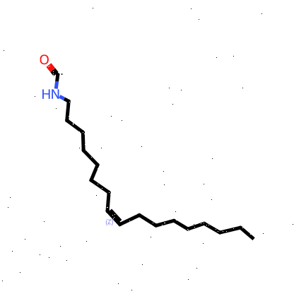 CCCCCCCC/C=C\CCCCCCCN[C]=O